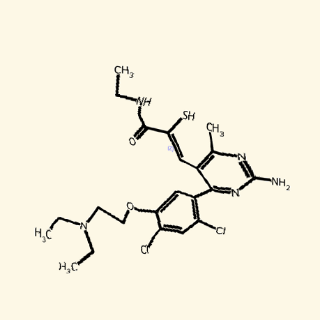 CCNC(=O)/C(S)=C/c1c(C)nc(N)nc1-c1cc(OCCN(CC)CC)c(Cl)cc1Cl